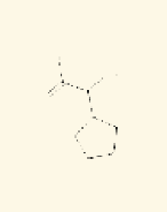 COC(C(=O)C(C)C)C1CCCC1